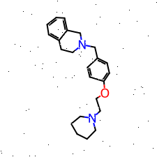 c1ccc2c(c1)CCN(Cc1ccc(OCCN3CCCCC3)cc1)C2